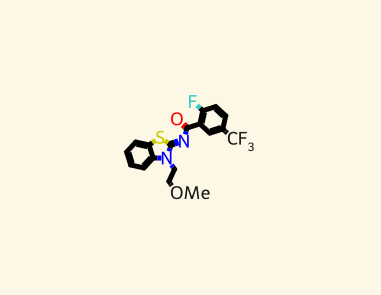 COCCn1/c(=N/C(=O)c2cc(C(F)(F)F)ccc2F)sc2ccccc21